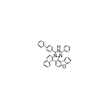 c1ccc(-c2ccc(C3=NC(c4c(-c5cccc6ccccc56)ccc5oc6ccccc6c45)=NC(c4ccccc4)N3)cc2)cc1